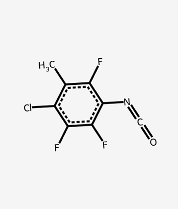 Cc1c(F)c(N=C=O)c(F)c(F)c1Cl